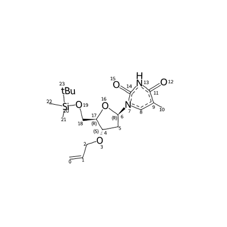 C=CCO[C@H]1C[C@H](n2cc(C)c(=O)[nH]c2=O)O[C@@H]1CO[Si](C)(C)C(C)(C)C